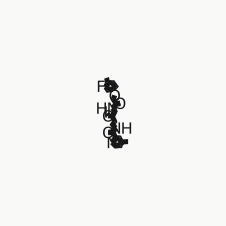 Cc1ccnc(C(=O)NCCC(CNC(=O)COc2ccc(C)c(F)c2)OI)c1